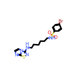 O=S(=O)(NCCCCCCNc1nsc2nccn12)c1ccc(Br)cc1